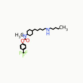 CCCCCNCCCCCC1CCC(N(C)C(=O)Oc2ccc(C(F)(F)F)cc2)CC1